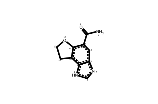 NC(=O)c1cc2nc[nH]c2c2c1OCC2